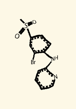 CS(=O)(=O)c1ccc(Nc2ccccn2)c(Br)c1